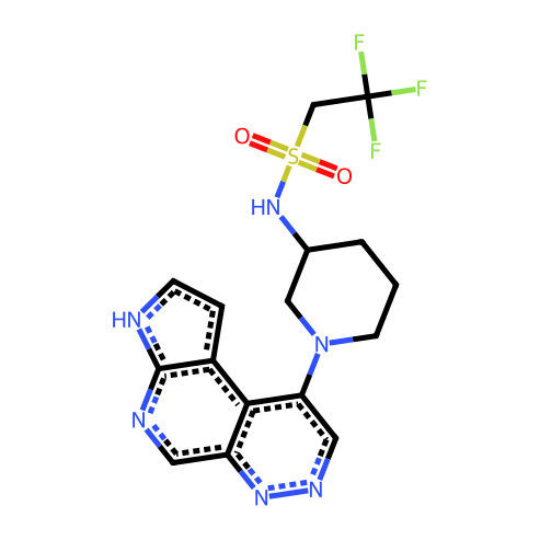 O=S(=O)(CC(F)(F)F)NC1CCCN(c2cnnc3cnc4[nH]ccc4c23)C1